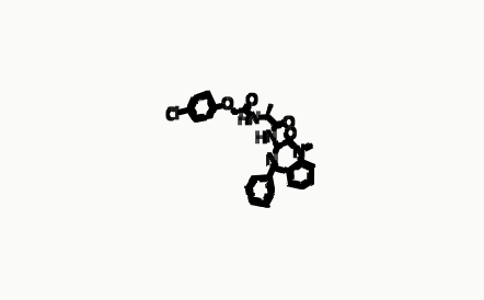 C[C@H](NC(=O)COc1ccc(Cl)cc1)C(=O)NC1N=C(c2ccccc2)c2ccccc2N(C)C1=O